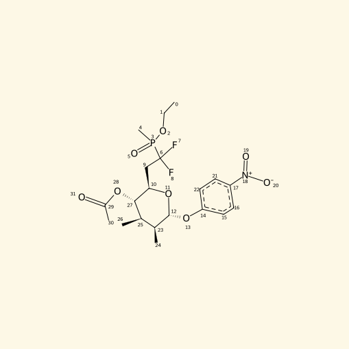 CCOP(C)(=O)C(F)(F)C[C@H]1O[C@H](Oc2ccc([N+](=O)[O-])cc2)[C@@H](C)[C@@H](C)[C@@H]1OC(C)=O